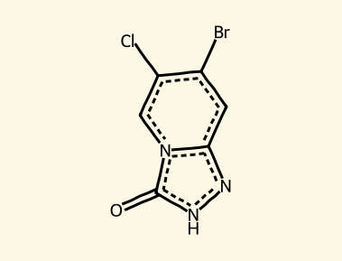 O=c1[nH]nc2cc(Br)c(Cl)cn12